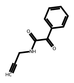 C#CCNC(=O)C(=O)c1ccccc1